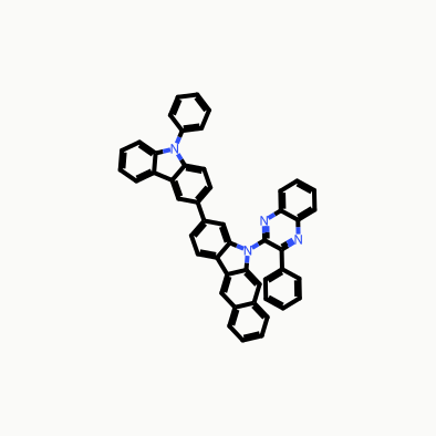 c1ccc(-c2nc3ccccc3nc2-n2c3cc(-c4ccc5c(c4)c4ccccc4n5-c4ccccc4)ccc3c3cc4ccccc4cc32)cc1